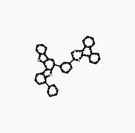 c1ccc(-c2cccc3c2oc2c(-c4cccc(-c5cnc6c7ccccc7c7ccccc7c6n5)c4)cc4c5ccccc5oc4c23)cc1